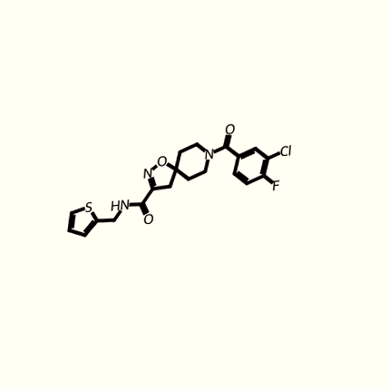 O=C(NCc1cccs1)C1=NOC2(CCN(C(=O)c3ccc(F)c(Cl)c3)CC2)C1